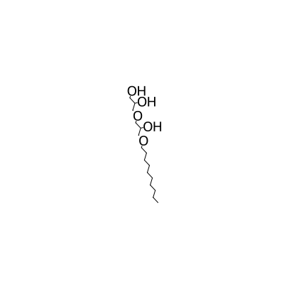 CCCCCCCCCCOCC(O)COCC(O)CO